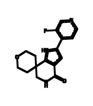 O=C1NCC2(CCOCC2)c2[nH]c(-c3ccncc3F)cc21